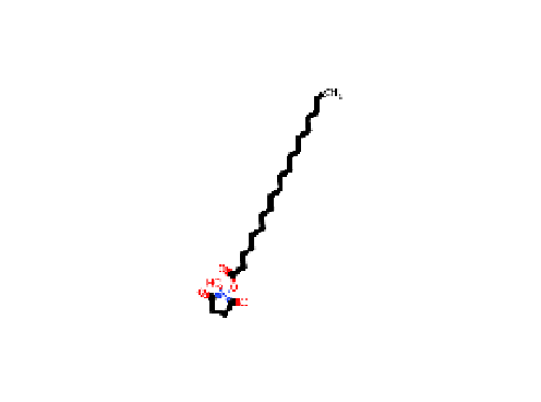 CCCCCCCCCCCCCCCCCCCC(=O)O[N+]1(O)C(=O)CCC1=O